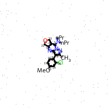 CCCN(CCC)c1c2c(nc3c(-c4ccc(OC)cc4Cl)c(C)nn13)COC2